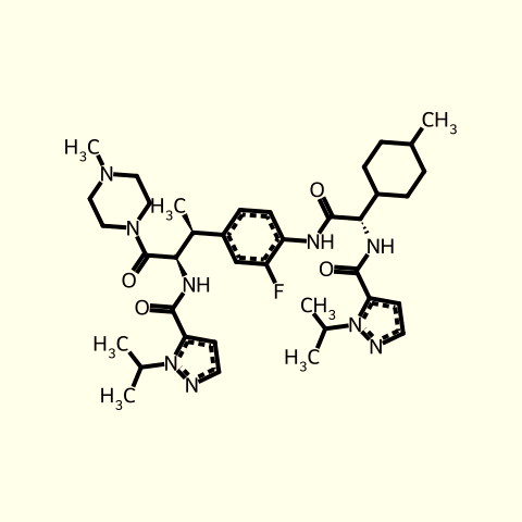 CC1CCC([C@H](NC(=O)c2ccnn2C(C)C)C(=O)Nc2ccc([C@H](C)[C@@H](NC(=O)c3ccnn3C(C)C)C(=O)N3CCN(C)CC3)cc2F)CC1